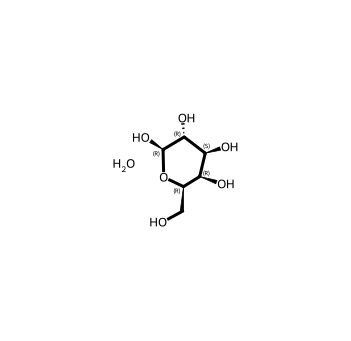 O.OC[C@H]1O[C@@H](O)[C@H](O)[C@@H](O)[C@H]1O